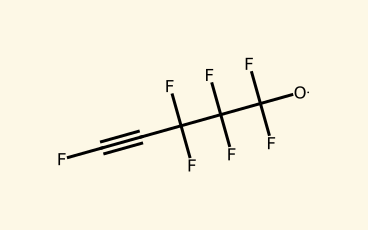 [O]C(F)(F)C(F)(F)C(F)(F)C#CF